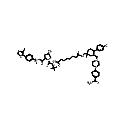 Cc1ncsc1-c1ccc([C@H](C)NC(=O)C2CC(O)CN2C(=O)[C@@H](NC(=O)CCCCCCC(=O)NCC2(C)CCC(c3ccc(Cl)cc3)=C(CN3CCN(c4ccc(C(N)=O)cc4)CC3)C2)C(C)(C)C)cc1